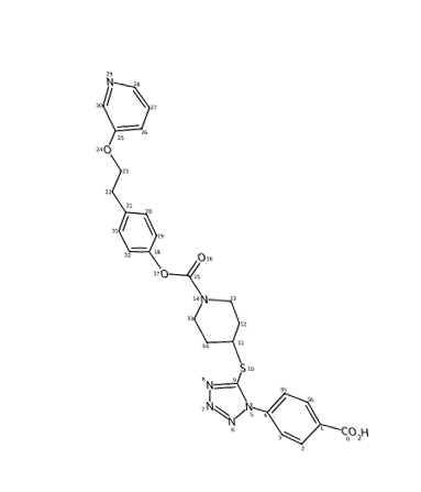 O=C(O)c1ccc(-n2nnnc2SC2CCN(C(=O)Oc3ccc(CCOc4cccnc4)cc3)CC2)cc1